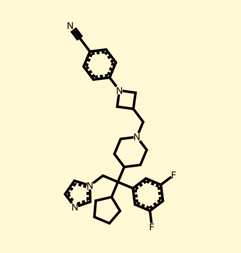 N#Cc1ccc(N2CC(CN3CCC(C(Cn4ccnc4)(c4cc(F)cc(F)c4)C4CCCC4)CC3)C2)cc1